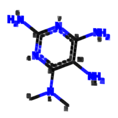 CN(C)c1nc(N)nc(N)c1N